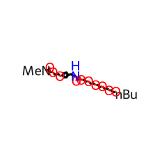 CCCCOCCOCCOCCOCCOCCOCC(=O)NCCc1ccc(OCCOCC(=O)NC)cc1